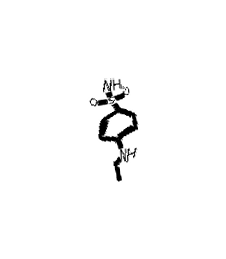 C=CNc1ccc(S(N)(=O)=O)cc1